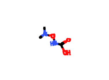 CN(C)ONC(=O)O